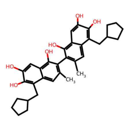 Cc1cc2c(CC3CCCC3)c(O)c(O)cc2c(O)c1-c1c(C)cc2c(CC3CCCC3)c(O)c(O)cc2c1O